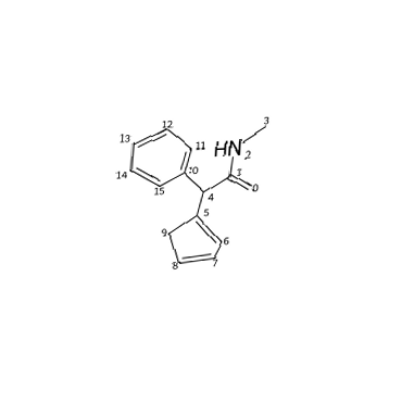 C=C(NC)C(C1=CC=CC1)c1ccccc1